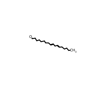 CCCCC/C=C/CC=CCCCCCCCC=O